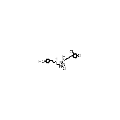 Oc1ccc(CCNCc2nc(Cl)nc(NCCCCc3ccc(Cl)cc3Cl)n2)cc1